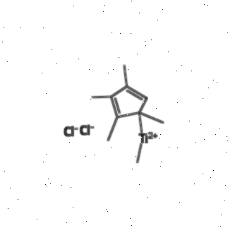 [CH3][Ti+2][C]1(C)C=C(C)C(C)=C1C.[Cl-].[Cl-]